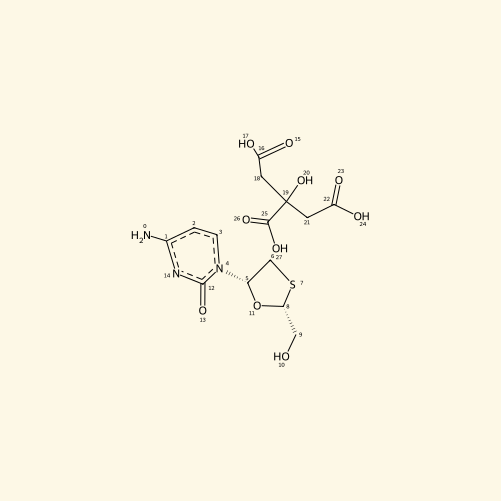 Nc1ccn([C@@H]2CS[C@H](CO)O2)c(=O)n1.O=C(O)CC(O)(CC(=O)O)C(=O)O